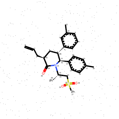 C=CC[C@H]1C[C@H](c2cccc(C)c2)[C@@H](c2ccc(C)cc2)N([C@H](CS(=O)(=O)C(C)C)C(C)C)C1=O